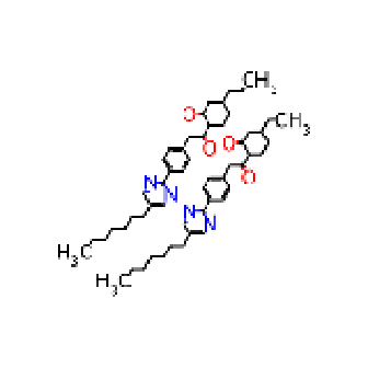 CCCCCCCc1cnc(-c2ccc(CC(=O)C3CCC(CC)CC3=O)cc2)nc1.CCCCCCCc1cnc(-c2ccc(CC(=O)C3CCC(CCC)CC3=O)cc2)nc1